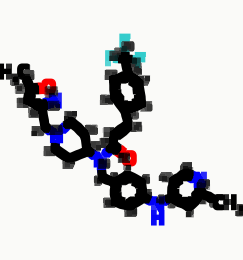 Cc1cc(Nc2ccc(CN(C(=O)C=Cc3ccc(C(F)(F)F)cc3)C3CCN(Cc4cc(C)on4)CC3)cc2)ccn1